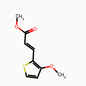 COC(=O)C=Cc1sccc1OC